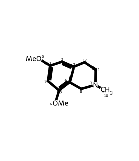 COc1cc2c(c(OC)c1)CN(C)CC2